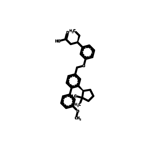 CC[C@H](CC(=O)O)c1cccc(OCc2ccc(-c3cccc(OC)c3)c([C@H]3CCCC3(C)C)c2)c1